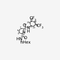 CCCCCCNC(=O)c1cccc(C(=O)Nc2cc(C(F)(F)F)cc(C(F)(F)F)c2)n1